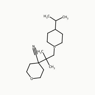 CC(C)C1CCN(CC(C)(C)C2(C#N)CCOCC2)CC1